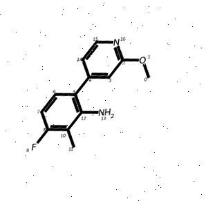 COc1cc(-c2ccc(F)c(C)c2N)ccn1